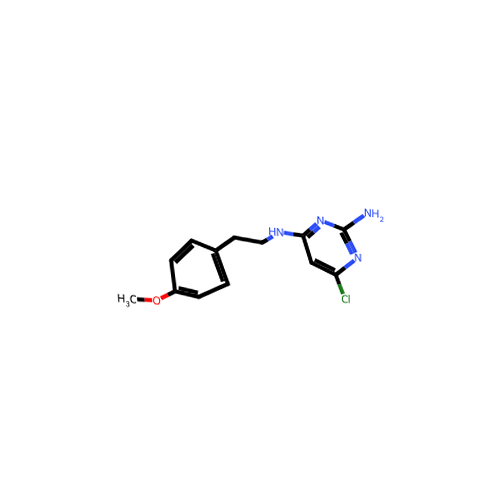 COc1ccc(CCNc2cc(Cl)nc(N)n2)cc1